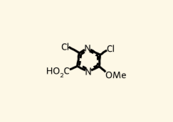 COc1nc(C(=O)O)c(Cl)nc1Cl